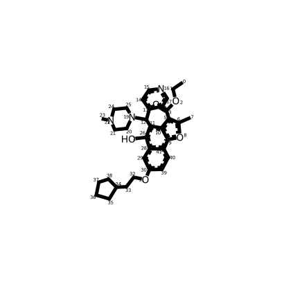 CCOC(=O)c1c(C)oc2c1c(C(c1ccncc1)N1CCN(C)CC1)c(O)c1cc(OCCC3CCCC3)ccc12